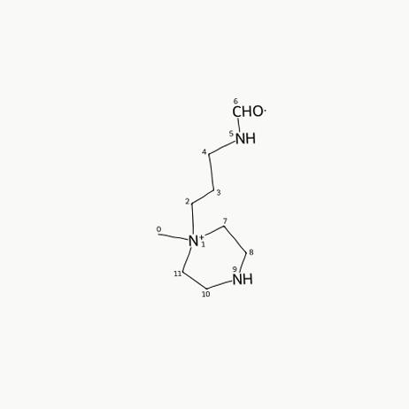 C[N+]1(CCCN[C]=O)CCNCC1